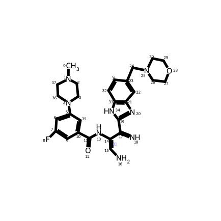 CN1CCN(c2cc(F)cc(C(=O)N/C(=C/N)C(=N)c3nc4cc(CN5CCOCC5)ccc4[nH]3)c2)CC1